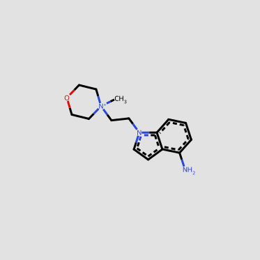 C[N+]1(CCn2ccc3c(N)cccc32)CCOCC1